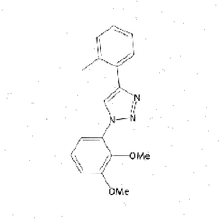 COc1cccc(-n2cc(-c3ccccc3C)nn2)c1OC